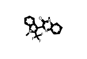 Cn1c(C(F)(F)F)c(-c2nc3ccccc3n(C)c2=O)c2ccccc21